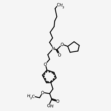 CCCCCCCCN(CCOc1ccc(CC(OCC)C(=O)O)cc1)C(=O)OC1CCCC1